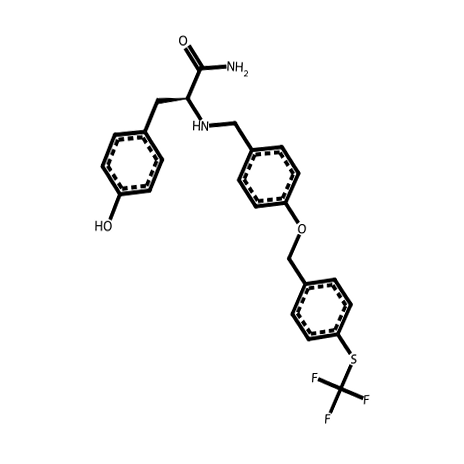 NC(=O)[C@H](Cc1ccc(O)cc1)NCc1ccc(OCc2ccc(SC(F)(F)F)cc2)cc1